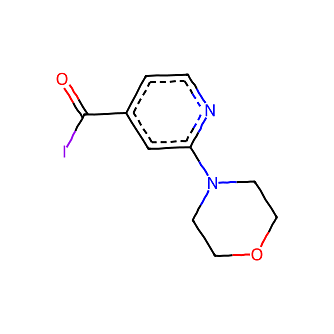 O=C(I)c1ccnc(N2CCOCC2)c1